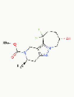 C[C@@H]1Cc2nn3c(c2CN1C(=O)OC(C)(C)C)C(F)(F)CC[C@H](O)C3